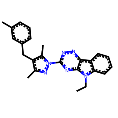 CCn1c2ccccc2c2nnc(-n3nc(C)c(Cc4cccc(C)c4)c3C)nc21